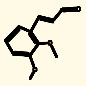 COc1cccc(C=C[C]=O)c1OC